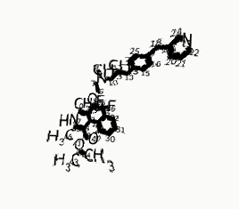 CC1=C(C(=O)OCCN(C)C/C(C)=C/c2ccc(Cc3cccnc3)cc2)C(c2ccccc2C(F)(F)F)C(C(=O)OC(C)C)=C(C)N1